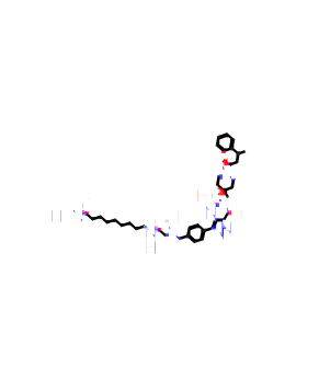 CC(CC(=O)N1CCC(O)(Cn2cnc3c(-c4ccc(CNCC(=O)NCCCCCCCCC(N)=O)cc4)n(C)nc3c2=O)CC1)c1ccccc1